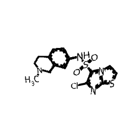 CN1CCc2ccc(NS(=O)(=O)c3c(Cl)nc4sccn34)cc2C1